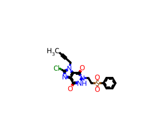 CC#CCn1c(Cl)nc2c(=O)[nH]n(CCS(=O)(=O)c3ccccc3)c(=O)c21